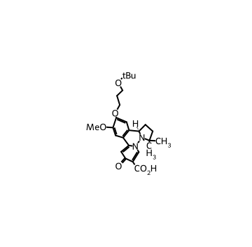 COc1cc2c(cc1OCCCOC(C)(C)C)[C@H]1CCC(C)(C)N1n1cc(C(=O)O)c(=O)cc1-2